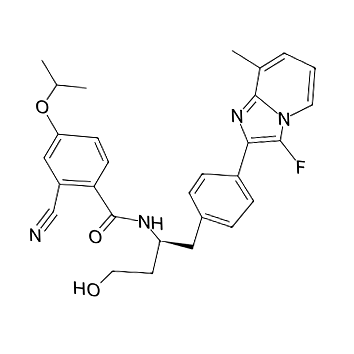 Cc1cccn2c(F)c(-c3ccc(C[C@@H](CCO)NC(=O)c4ccc(OC(C)C)cc4C#N)cc3)nc12